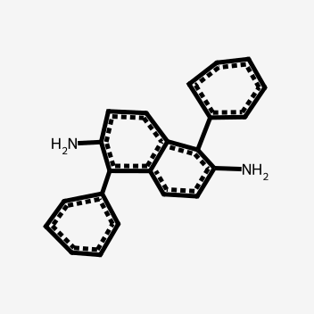 Nc1ccc2c(-c3ccccc3)c(N)ccc2c1-c1ccccc1